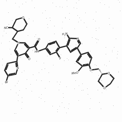 COc1cc(-c2cnc(N)c(-c3ccc(NC(=O)c4cn(CC5CCOCC5C#N)cc(-c5ccc(Br)cn5)c4=O)cc3F)c2)ccc1OC[C@H]1COCCO1